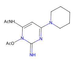 CC(=O)Nc1cc(N2CCCCC2)nc(=N)n1OC(C)=O